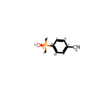 CP(C)(=O)c1ccc(C#N)cc1